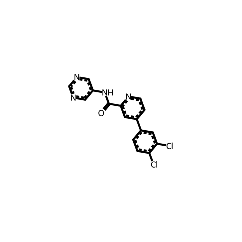 O=C(Nc1cncnc1)c1cc(-c2ccc(Cl)c(Cl)c2)ccn1